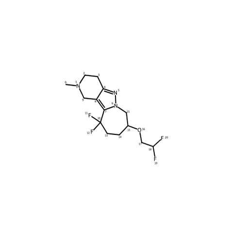 CN1CCc2nn3c(c2C1)C(F)(F)CCC(OCC(F)F)C3